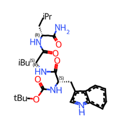 CC[C@H](C)[C@@H](NC(=O)[C@H](Cc1c[nH]c2ccccc12)NC(=O)OC(C)(C)C)C(=O)N[C@H](CC(C)C)C(N)=O